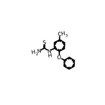 Cc1ccc(Oc2ccccc2)c(NC(N)=S)c1